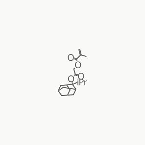 C=C(C)C(=O)OCC(=O)OC1(C(C)C)C2CC3CC(C2)CC1C3